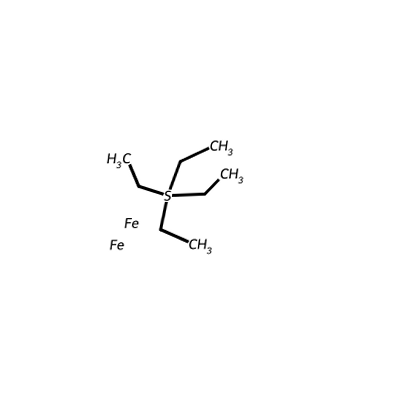 CCS(CC)(CC)CC.[Fe].[Fe]